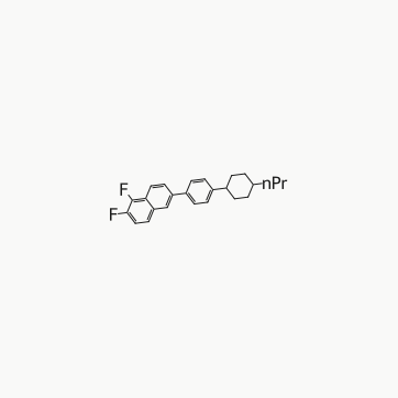 CCCC1CCC(c2ccc(-c3ccc4c(F)c(F)ccc4c3)cc2)CC1